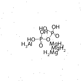 O=P(O)(O)OP(=O)(O)O.[AlH3].[MgH2].[MgH2].[MgH2]